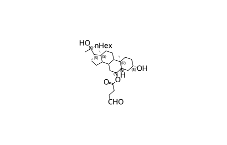 CCCCCC[C@](C)(O)[C@H]1CCC2C3C[C@H](OC(=O)CCC=O)[C@H]4C[C@@H](O)CC[C@]4(C)C3CC[C@@]21C